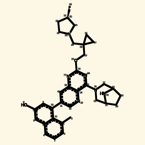 Cc1cccc2cc(O)cc(-c3cnc4c(N5CC6CCC(C5)N6)nc(OCC5(CN6CC[C@@H](F)C6)CC5)nc4c3)c12